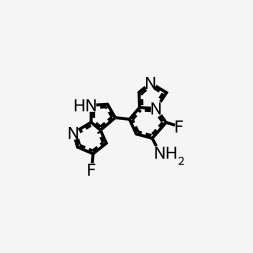 Nc1cc(-c2c[nH]c3ncc(F)cc23)c2cncn2c1F